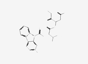 CC(C)[C@H](CC(=O)n1c2ccccc2c2ccc(Cl)cc21)C(=O)NC(CC(=O)O)C(=O)CF